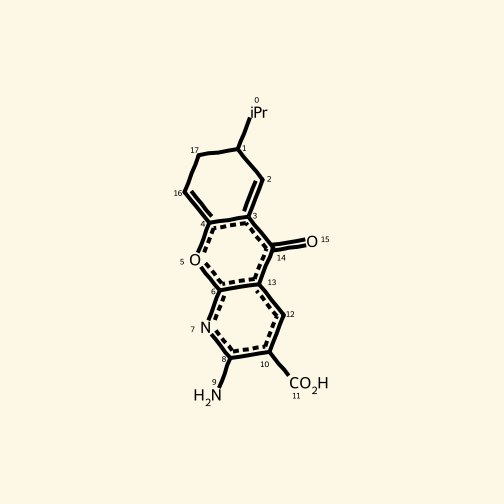 CC(C)C1C=c2c(oc3nc(N)c(C(=O)O)cc3c2=O)=CC1